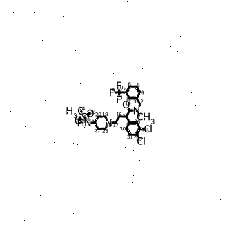 CN(Cc1cccc(C(F)(F)F)c1)C(=O)C(CCN1CCC(NS(C)(=O)=O)CC1)c1ccc(Cl)c(Cl)c1